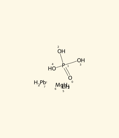 O=P(O)(O)O.[LiH].[MgH2].[PbH2]